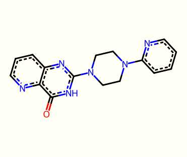 O=c1[nH]c(N2CCN(c3ccccn3)CC2)nc2cccnc12